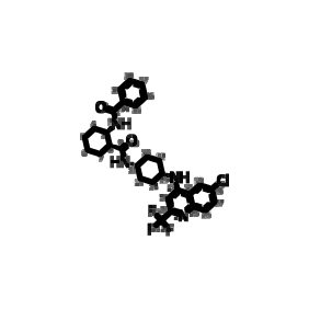 O=C(N[C@@H]1CCCC[C@@H]1C(=O)N[C@H]1CC[C@@H](Nc2cc(C(F)(F)F)nc3ccc(Cl)cc23)CC1)c1ccccc1